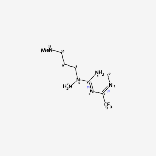 C/N=C(\N=C(/N)N(N)CCCNC)C(F)(F)F